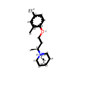 CCc1ccc(OCC[C@H](C)[N+]23CCC(CC2)CC3)c(C)c1